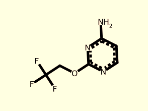 Nc1ccnc(OCC(F)(F)F)n1